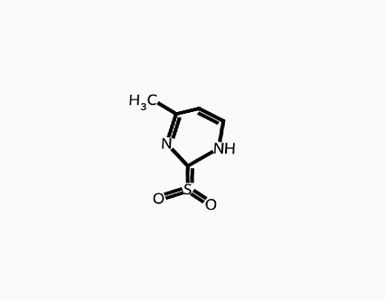 Cc1cc[nH]c(=S(=O)=O)n1